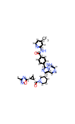 Cc1noc([C@H]2C[C@@H]2C(=O)N2CCC[C@@H](C3=C4C=NC=C[N+]4(N)C(c4ccc(C(=O)Nc5cc(C(F)(F)F)ccn5)cc4)=N3)C2)n1